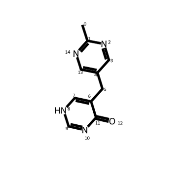 Cc1ncc(Cc2c[nH]cnc2=O)cn1